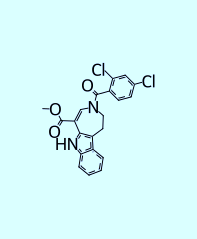 COC(=O)C1=CN(C(=O)c2ccc(Cl)cc2Cl)CCc2c1[nH]c1ccccc21